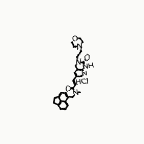 CN(Cc1ccc2c3c(cccc13)CC2)C(=O)C=Cc1cnc2c(c1)CN(CCN1CCOCC1)C(=O)N2.Cl